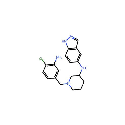 Nc1cc(CN2CCCC(Nc3ccc4[nH]ncc4c3)C2)ccc1Cl